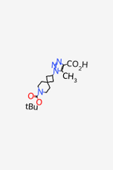 Cc1c(C(=O)O)nnn1C1CC2(CCN(C(=O)OC(C)(C)C)CC2)C1